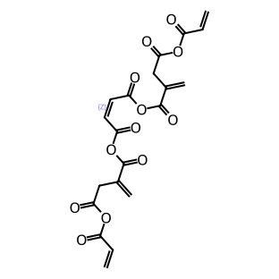 C=CC(=O)OC(=O)CC(=C)C(=O)OC(=O)/C=C\C(=O)OC(=O)C(=C)CC(=O)OC(=O)C=C